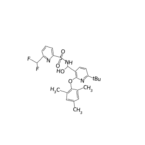 Cc1cc(C)c(Oc2nc(C(C)(C)C)ccc2C(O)NS(=O)(=O)c2cccc(C(F)F)n2)c(C)c1